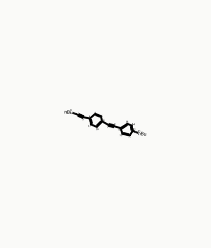 CCCCC#Cc1ccc(C#Cc2ccc(CCCC)cc2)cc1